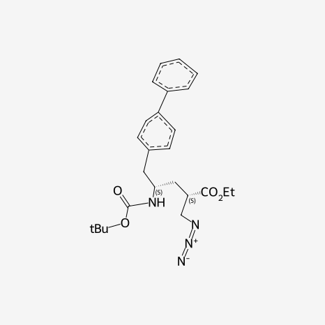 CCOC(=O)[C@H](CN=[N+]=[N-])C[C@@H](Cc1ccc(-c2ccccc2)cc1)NC(=O)OC(C)(C)C